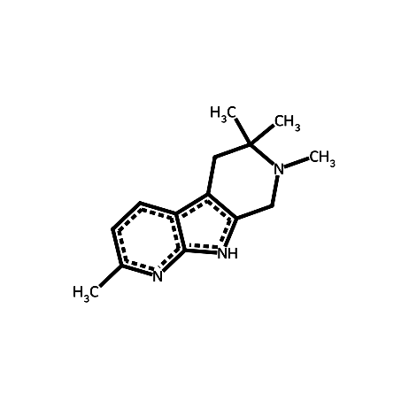 Cc1ccc2c3c([nH]c2n1)CN(C)C(C)(C)C3